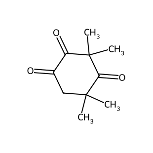 CC1(C)CC(=O)C(=O)C(C)(C)C1=O